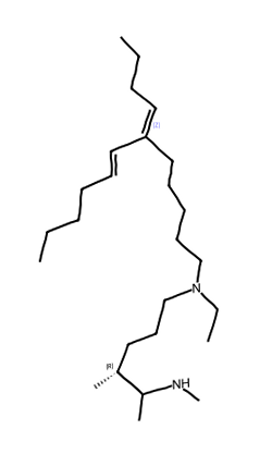 CCC/C=C(\C=CCCCC)CCCCCN(CC)CCC[C@@H](C)C(C)NC